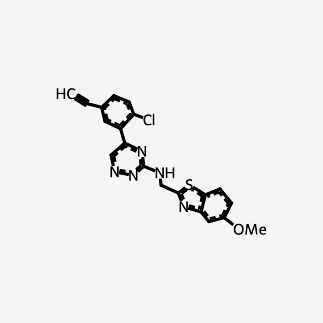 C#Cc1ccc(Cl)c(-c2cnnc(NCc3nc4cc(OC)ccc4s3)n2)c1